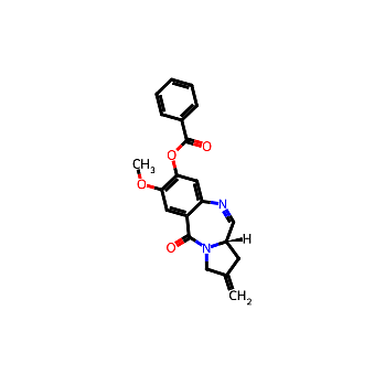 C=C1C[C@H]2C=Nc3cc(OC(=O)c4ccccc4)c(OC)cc3C(=O)N2C1